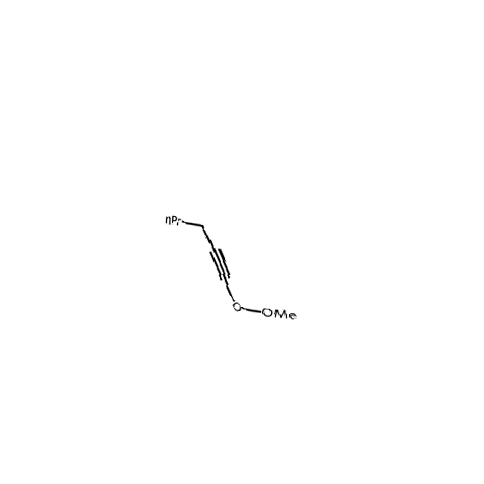 CCCCC#COOC